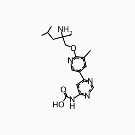 Cc1cc(-c2cc(NC(=O)O)ncn2)cnc1OCC(C)(N)CC(C)C